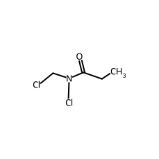 CCC(=O)N(Cl)CCl